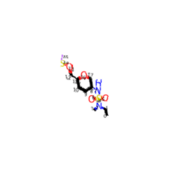 CCN(C)S(=O)(=O)N[C@@H]1CC[C@@H](COSI)OC1